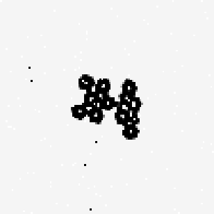 CC1(C)c2ccccc2-c2ccc(N(c3ccc4c(c3)c3ccccc3c3c(-c5ccccc5)cc(-c5ccccc5)c(-c5ccccc5)c43)c3cc4ccccc4c4c3CCC=C4)cc21